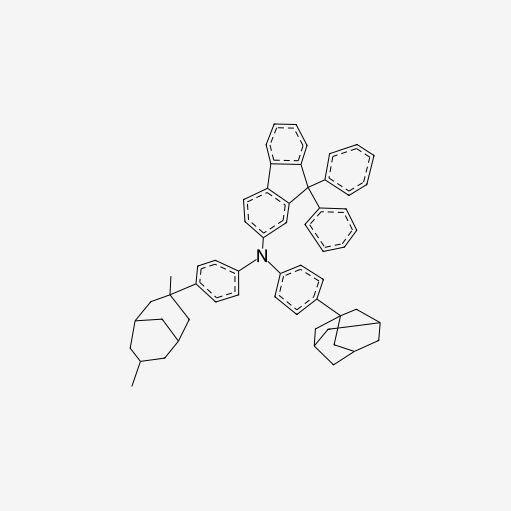 CC1CC2CC(C1)CC(C)(c1ccc(N(c3ccc(C45CC6CC(CC(C6)C4)C5)cc3)c3ccc4c(c3)C(c3ccccc3)(c3ccccc3)c3ccccc3-4)cc1)C2